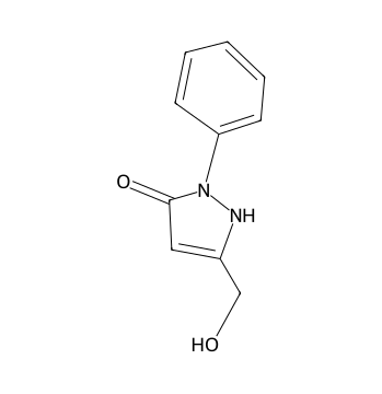 O=c1cc(CO)[nH]n1-c1ccccc1